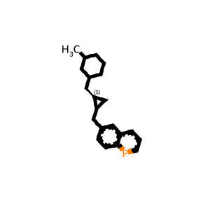 CC1CCCC(C[C@H]2CC2Cc2ccc3pcccc3c2)C1